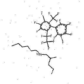 CCCCCCNCC(C)CCC.Fc1c(F)c(F)c(-c2c(C(F)(F)F)c(F)c(F)c(F)c2C(F)(F)C(F)(F)F)c(F)c1F